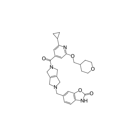 O=C(c1cc(OCC2CCOCC2)nc(C2CC2)c1)N1CC2=C(CN(Cc3ccc4[nH]c(=O)oc4c3)C2)C1